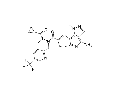 CN(C(=O)C1CC1)N(Cc1ccc(C(F)(F)F)cn1)C(=O)c1ccc2nc(N)c3cnn(C)c3c2c1